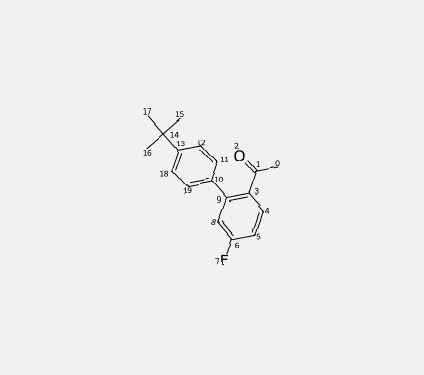 CC(=O)c1ccc(F)cc1-c1ccc(C(C)(C)C)cc1